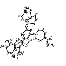 C=CC(=O)C1=CCCN(c2nc(Oc3cccc4c3CCN(C)C4)nc3c(Oc4c(Cl)c(Cl)cc(N)c4C=N)nccc23)CC1